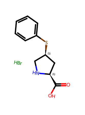 Br.O=C(O)[C@@H]1C[C@H](Sc2ccccc2)CN1